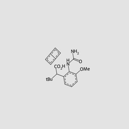 COc1cccc(C(C(=O)O)C(C)(C)C)c1NC(N)=O.c1cc2ccc1-2